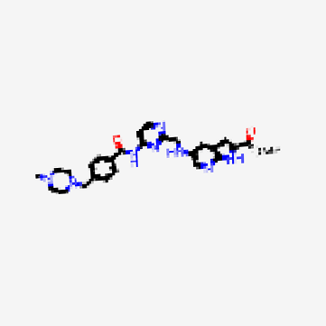 COC(=O)c1cc2cc(NCc3nccc(NC(=O)c4ccc(CN5CCN(C)CC5)cc4)n3)cnc2[nH]1